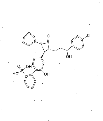 O=C1[C@H](CC[C@H](O)c2ccc(Cl)cc2)[C@@H](c2ccc(-c3ccccc3P(=O)(O)O)c(O)c2)N1c1ccccc1